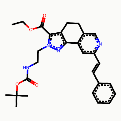 CCOC(=O)c1c2c(nn1CCNC(=O)OC(C)(C)C)-c1cc(C=Cc3ccccc3)ncc1CC2